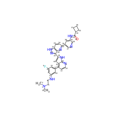 CN(C)CCNc1cc(F)cc(-c2ccnc3[nH]c(-c4n[nH]c5ccc(-c6cncc(NC(=O)C7CCC7)c6)nc45)cc23)c1